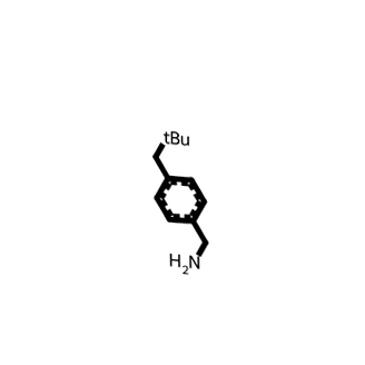 CC(C)(C)Cc1ccc(CN)cc1